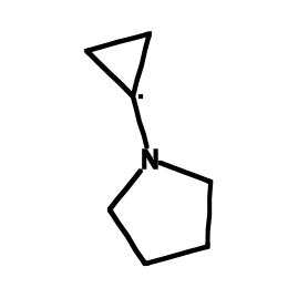 C1CCN([C]2CC2)C1